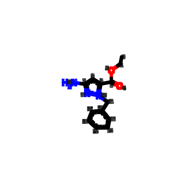 CCOC(=O)c1cc(N)nn1Cc1ccccc1